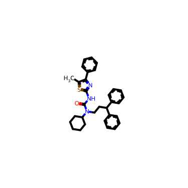 Cc1sc(NC(=O)N(CCC(c2ccccc2)c2ccccc2)C2CCCCC2)nc1-c1ccccc1